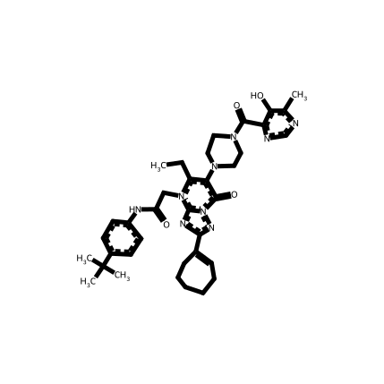 CCc1c(N2CCN(C(=O)c3ncnc(C)c3O)CC2)c(=O)n2nc(C3=CCCCCC3)nc2n1CC(=O)Nc1ccc(C(C)(C)C)cc1